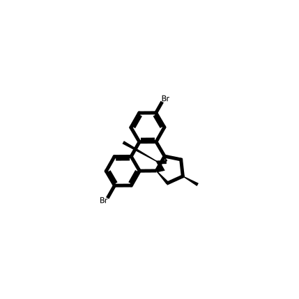 C[C@H]1C[C@]23C[C@@H](C)C[C@@]2(C1)c1cc(Br)ccc1-c1ccc(Br)cc13